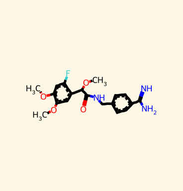 COc1cc(F)c(C(OC)C(=O)NCc2ccc(C(=N)N)cc2)cc1OC